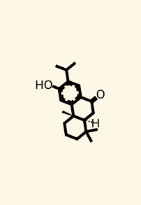 CC(C)c1cc2c(cc1O)[C@@]1(C)CCCC(C)(C)[C@@H]1CC2=O